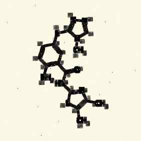 Cc1nc(NC(=O)c2cc(Sc3nncn3C)ccc2N)sc1C